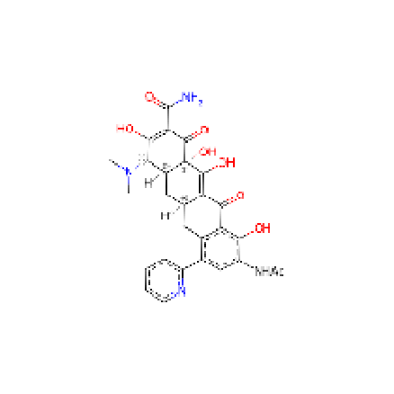 CC(=O)Nc1cc(-c2ccccn2)c2c(c1O)C(=O)C1=C(O)[C@]3(O)C(=O)C(C(N)=O)=C(O)[C@@H](N(C)C)[C@@H]3C[C@@H]1C2